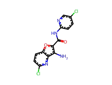 Nc1c(C(=O)Nc2ccc(Cl)cn2)oc2ccc(Cl)nc12